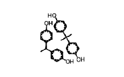 CC(C)(c1ccc(O)cc1)c1ccc(O)cc1.CC(c1ccc(O)cc1)c1ccc(O)cc1